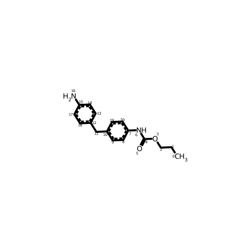 CCCOC(=O)Nc1ccc(Cc2ccc(N)cc2)cc1